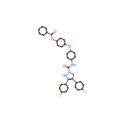 O=C(Oc1ccc(Oc2ccc(NC(=O)N3CC(c4ccc(F)cc4)=C(c4ccc(F)cc4)N3)cc2)cc1)c1ccccc1